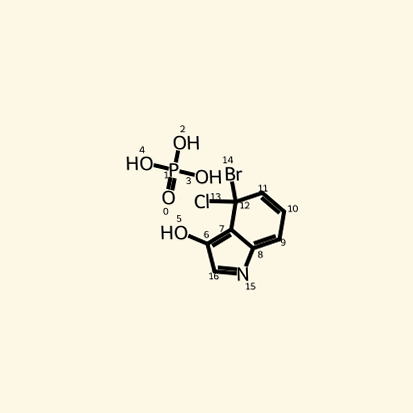 O=P(O)(O)O.OC1=C2C(=CC=CC2(Cl)Br)N=C1